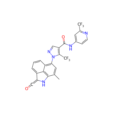 Cc1cc(-n2ncc(C(=O)Nc3ccnc(C(F)(F)F)c3)c2C(F)(F)F)c2cccc3c(=C=O)[nH]c1c23